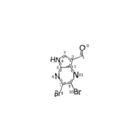 O=Cc1c[nH]c2nc(Br)c(Br)nc12